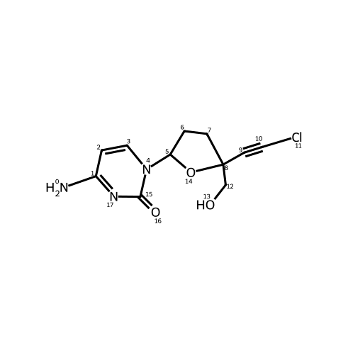 Nc1ccn(C2CCC(C#CCl)(CO)O2)c(=O)n1